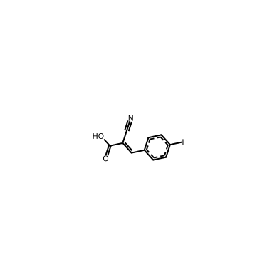 N#C/C(=C\c1ccc(I)cc1)C(=O)O